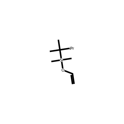 C=CO[Si](C)(C)C(C)(C)C(C)C